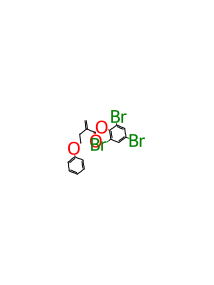 C=C(CCOc1ccccc1)C(=O)Oc1c(Br)cc(Br)cc1Br